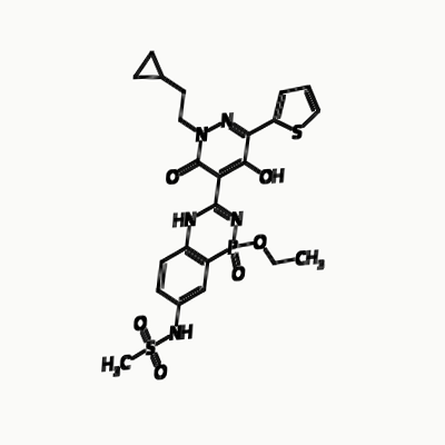 CCOP1(=O)N=C(c2c(O)c(-c3cccs3)nn(CCC3CC3)c2=O)Nc2ccc(NS(C)(=O)=O)cc21